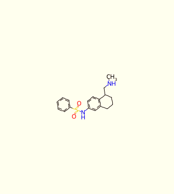 CNCC1CCCc2cc(NS(=O)(=O)c3ccccc3)ccc21